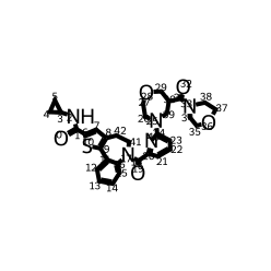 O=C(NC1CC1)c1cc2c(s1)-c1ccccc1N(C(=O)c1cccc(N3CCOCC(C(=O)N4CCOCC4)C3)n1)CC2